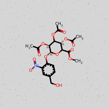 COC(=O)C1O[C@@H](Oc2ccc(CO)cc2[N+](=O)[O-])[C@@H](OC(C)=O)C(OC(C)=O)[C@@H]1OC(C)=O